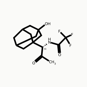 CC(=O)[C@@H](NC(=O)C(F)(F)F)C12CC3CC(CC(O)(C3)C1)C2